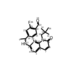 CC(Nc1ncc2ccc(=O)n(CC(C)(C)C)c2n1)c1ccc(C=O)c(F)c1